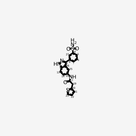 NS(=O)(=O)c1cccc(-c2n[nH]c3ccc(NC(=O)Cc4cccs4)cc23)c1